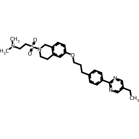 CCc1cnc(-c2ccc(CCCOc3ccc4c(c3)CCN(S(=O)(=O)CCN(C)C)C4)cc2)nc1